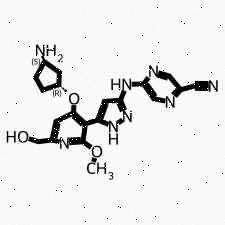 COc1nc(CO)cc(O[C@@H]2CC[C@H](N)C2)c1-c1cc(Nc2cnc(C#N)cn2)n[nH]1